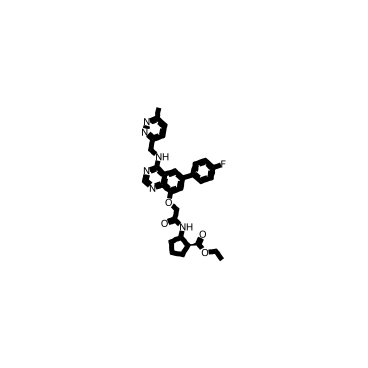 CCOC(=O)[C@H]1CCCC1NC(=O)COc1cc(-c2ccc(F)cc2)cc2c(NCc3ccc(C)nn3)ncnc12